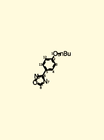 CCCCOc1ccc(-c2n[c]on2)cc1